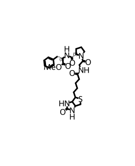 COC(=O)[C@H](Cc1ccccc1)NC(=O)[C@@H]1CCCN1C(=O)CNC(=O)CCCCC1SCC2NC(=O)NC21